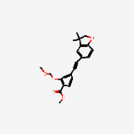 COCOc1cc(C#Cc2ccc3c(c2)C(C)(C)CO3)ccc1C(=O)OC